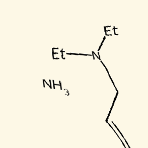 C=CCN(CC)CC.N